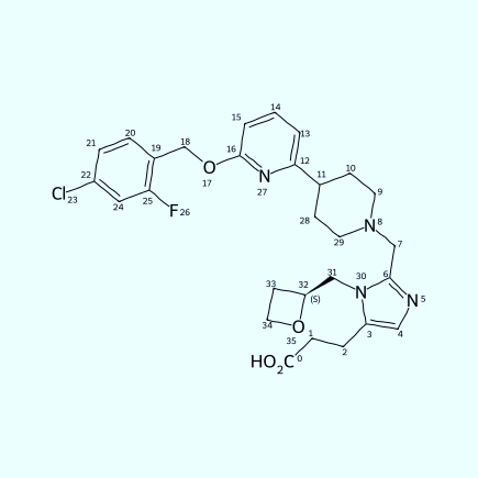 O=C(O)CCc1cnc(CN2CCC(c3cccc(OCc4ccc(Cl)cc4F)n3)CC2)n1C[C@@H]1CCO1